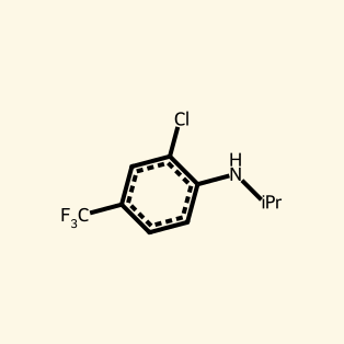 CC(C)Nc1ccc(C(F)(F)F)cc1Cl